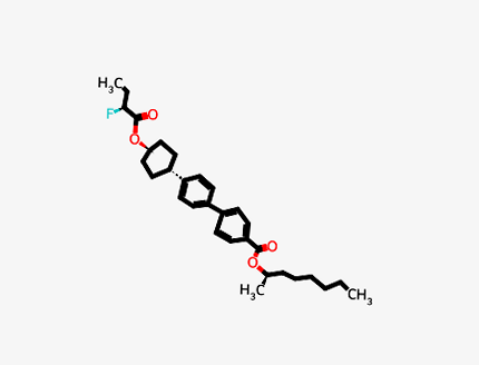 CCCCCC[C@@H](C)OC(=O)c1ccc(-c2ccc([C@H]3CC[C@H](OC(=O)[C@@H](F)CC)CC3)cc2)cc1